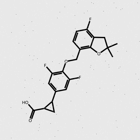 CC1(C)Cc2c(F)ccc(COc3c(F)cc(C4CC4C(=O)O)cc3F)c2O1